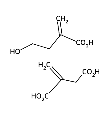 C=C(CC(=O)O)C(=O)O.C=C(CCO)C(=O)O